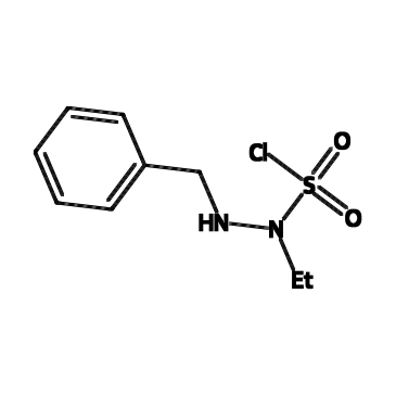 CCN(NCc1ccccc1)S(=O)(=O)Cl